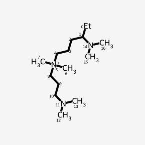 [CH2]CC(CCC[N+](C)(C)CCCN(C)C)N(C)C